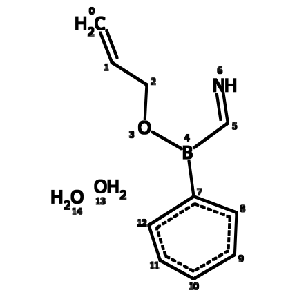 C=CCOB(C=N)c1ccccc1.O.O